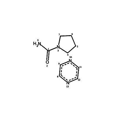 NC(=O)N1CCCC1.c1cnccn1